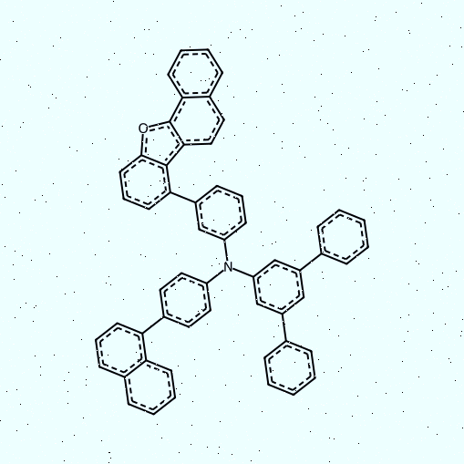 c1ccc(-c2cc(-c3ccccc3)cc(N(c3ccc(-c4cccc5ccccc45)cc3)c3cccc(-c4cccc5oc6c7ccccc7ccc6c45)c3)c2)cc1